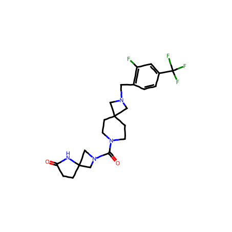 O=C1CCC2(CN(C(=O)N3CCC4(CC3)CN(Cc3ccc(C(F)(F)F)cc3F)C4)C2)N1